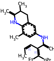 C=C(Nc1cc(C)c2c(c1)CC(C)C(=C)N2)C(/C=C\C)=C(/CC)CCC